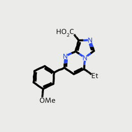 CCc1cc(-c2cccc(OC)c2)nc2c(C(=O)O)ncn12